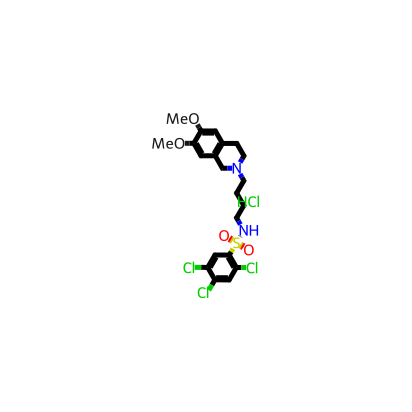 COc1cc2c(cc1OC)CN(CCCCNS(=O)(=O)c1cc(Cl)c(Cl)cc1Cl)CC2.Cl